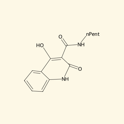 CCCCCNC(=O)c1c(O)c2ccccc2[nH]c1=O